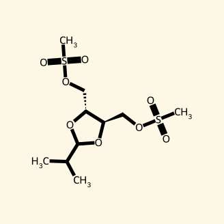 CC(C)C1O[C@H](COS(C)(=O)=O)[C@@H](COS(C)(=O)=O)O1